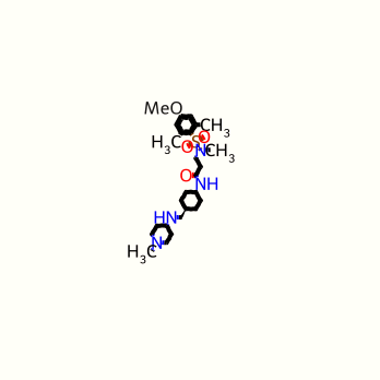 COc1cc(C)c(S(=O)(=O)N(C)CCC(=O)N[C@H]2CC[C@H](CNC3CCN(C)CC3)CC2)c(C)c1